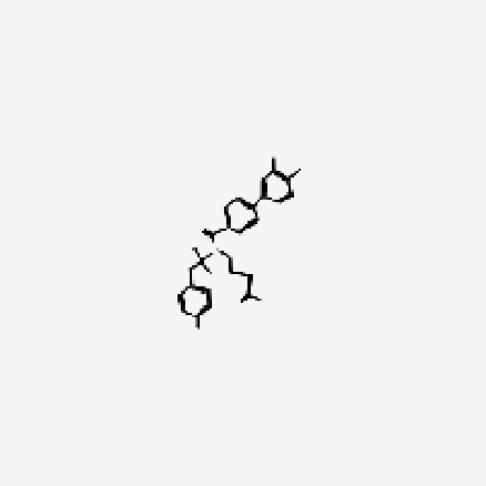 CC(C)(Cc1ccc(Cl)cc1)N(C(=O)c1ccc(-c2ccc(F)c(F)c2)cc1)[C@@H](CCC(N)=O)C(=O)O